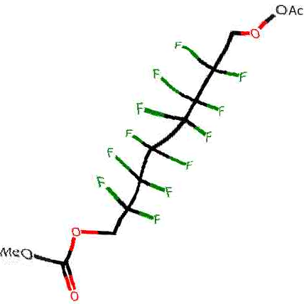 COC(=O)OCC(F)(F)C(F)(F)C(F)(F)C(F)(F)C(F)(F)C(F)(F)COOC(C)=O